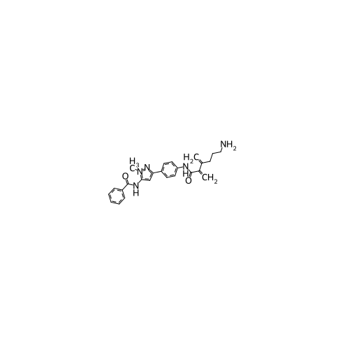 C=C(CCCN)C(=C)C(=O)Nc1ccc(-c2cc(NC(=O)c3ccccc3)n(C)n2)cc1